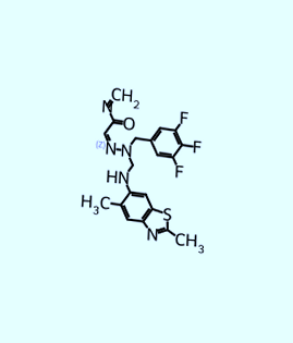 C=NC(=O)/C=N\N(CNc1cc2sc(C)nc2cc1C)Cc1cc(F)c(F)c(F)c1